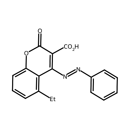 CCc1cccc2oc(=O)c(C(=O)O)c(N=Nc3ccccc3)c12